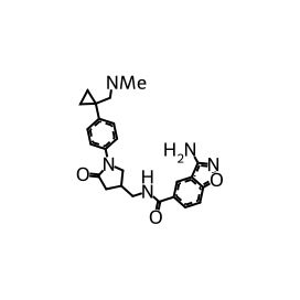 CNCC1(c2ccc(N3CC(CNC(=O)c4ccc5onc(N)c5c4)CC3=O)cc2)CC1